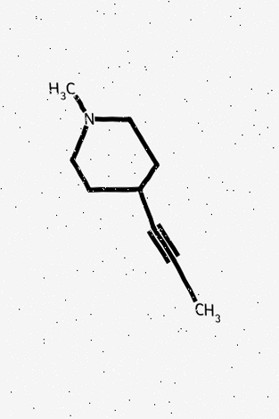 CC#CC1CCN(C)CC1